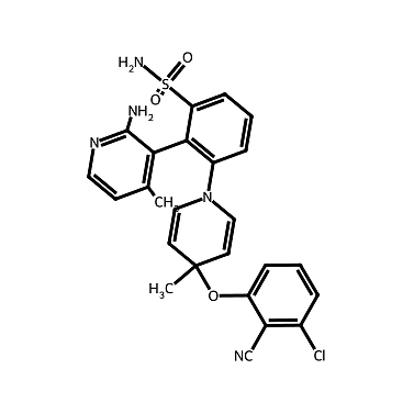 Cc1ccnc(N)c1-c1c(N2C=CC(C)(Oc3cccc(Cl)c3C#N)C=C2)cccc1S(N)(=O)=O